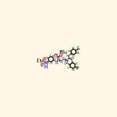 CCS(=O)(=O)Nc1cccc(CN(CCN2Cc3ccc(F)cc3CC2Cc2ccc(F)cc2)C(=O)OC(C)(C)C)c1